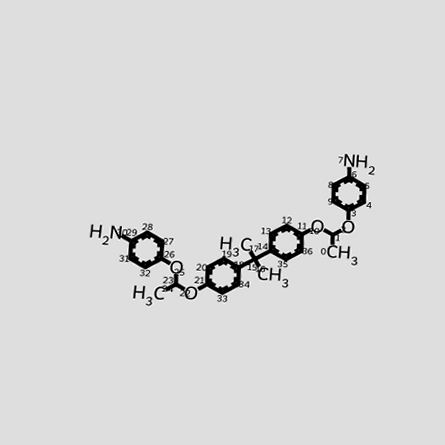 CC(Oc1ccc(N)cc1)Oc1ccc(C(C)(C)c2ccc(OC(C)Oc3ccc(N)cc3)cc2)cc1